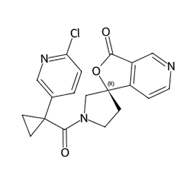 O=C1O[C@]2(CCN(C(=O)C3(c4ccc(Cl)nc4)CC3)C2)c2ccncc21